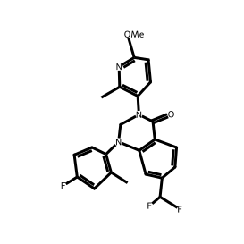 COc1ccc(N2CN(c3ccc(F)cc3C)c3cc(C(F)F)ccc3C2=O)c(C)n1